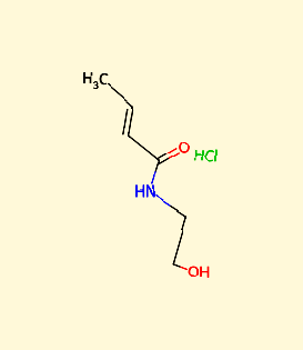 CC=CC(=O)NCCO.Cl